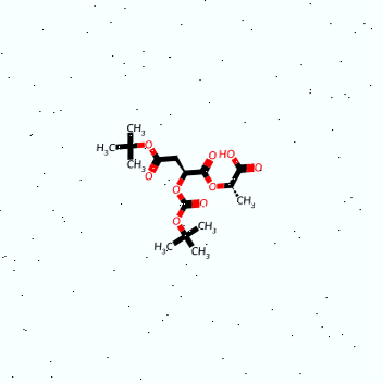 C[C@H](OC(=O)[C@H](CC(=O)OC(C)(C)C)OC(=O)OC(C)(C)C)C(=O)O